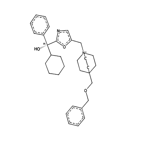 O[C@](c1ccccc1)(c1ncc(C[N+]23CCC(COCc4ccccc4)(CC2)CC3)o1)C1CCCCC1